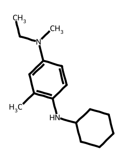 CCN(C)c1ccc(NC2CCCCC2)c(C)c1